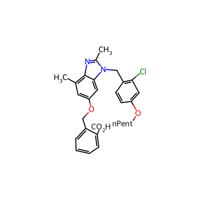 CCCCCOc1ccc(Cn2c(C)nc3c(C)cc(OCc4ccccc4C(=O)O)cc32)c(Cl)c1